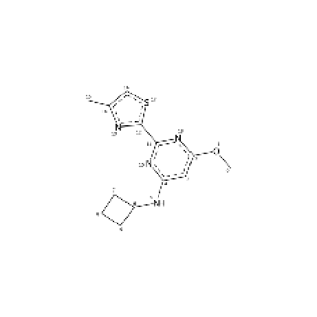 COc1cc(NC2CCC2)nc(-c2nc(C)cs2)n1